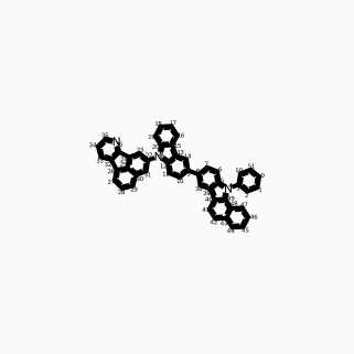 c1ccc(-n2c3ccc(-c4ccc5c(c4)c4ccccc4n5-c4cc5c6c(cccc6c4)-c4cccnc4-5)cc3c3ccc4ccccc4c32)cc1